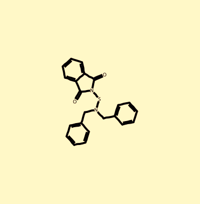 O=C1c2ccccc2C(=O)N1SN(Cc1ccccc1)Cc1ccccc1